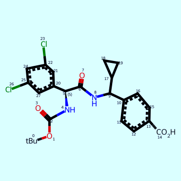 CC(C)(C)OC(=O)N[C@H](C(=O)NC(c1ccc(C(=O)O)cc1)C1CC1)c1cc(Cl)cc(Cl)c1